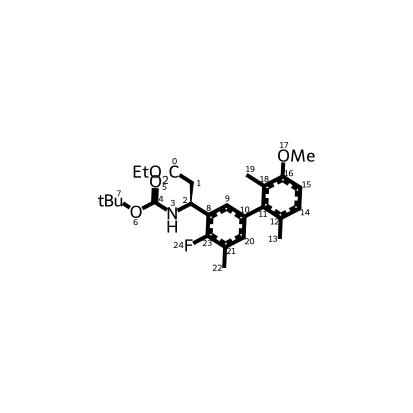 CCOC(=O)C[C@H](NC(=O)OC(C)(C)C)c1cc(-c2c(C)ccc(OC)c2C)cc(C)c1F